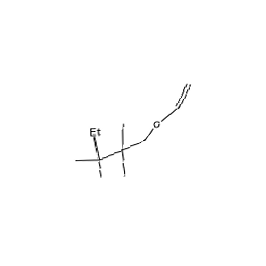 C=COCC(C)(C)C(C)(C)CC